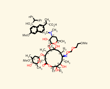 CCCC(CCC)C(=O)O.CC[C@H]1OC(=O)[C@H](C)[C@@H](O[C@H]2C[C@@](C)(OC)[C@@H](O)[C@H](C)O2)[C@H](C)[C@@H](O[C@@H]2O[C@H](C)C[C@H](N(C)C)[C@H]2O)[C@](C)(O)C[C@@H](C)/C(=N\OCOCCOC)[C@H](C)[C@@H](O)[C@]1(C)O.COc1ccc2cc([C@H](C)C(=O)O)ccc2c1